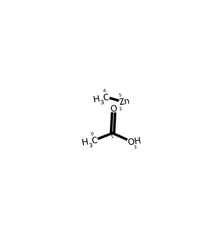 CC(=O)O.[CH3][Zn]